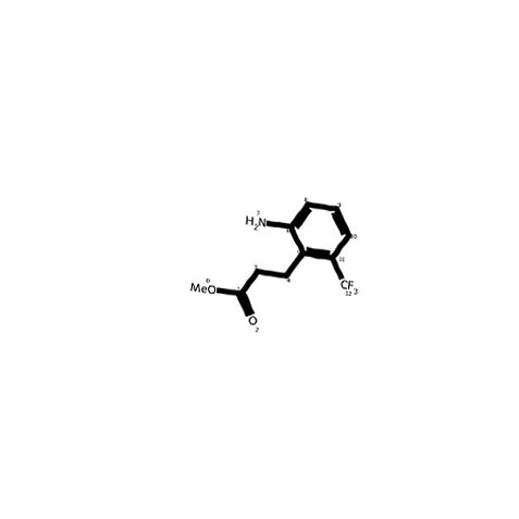 COC(=O)CCc1c(N)cccc1C(F)(F)F